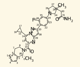 C[C@@H]1c2ccsc2CCN1C(=O)c1cc(C2CC2)n2nc(-c3ccc(N4CC[C@@](C)(CC(N)=O)C4)cc3F)cc2n1